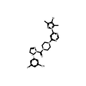 Cc1nn(-c2cc(N3CCN(C(=O)N4N=CC[C@H]4c4cc(F)cc(C#N)c4)CC3)ncn2)c(C)c1Br